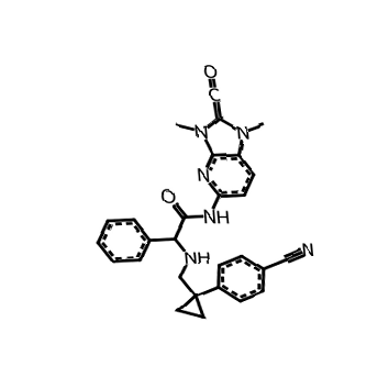 CN1C(=C=O)N(C)c2nc(NC(=O)C(NCC3(c4ccc(C#N)cc4)CC3)c3ccccc3)ccc21